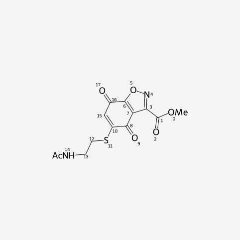 COC(=O)c1noc2c1C(=O)C(SCCNC(C)=O)=CC2=O